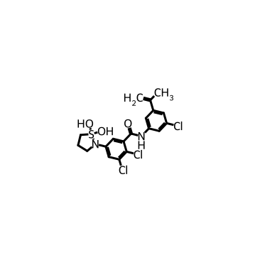 C=C(C)c1cc(Cl)cc(NC(=O)c2cc(N3CCCS3(O)O)cc(Cl)c2Cl)c1